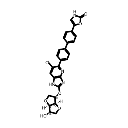 O=c1[nH]cc(-c2ccc(-c3ccc(-c4nc5nc(O[C@@H]6CO[C@H]7[C@@H]6OC[C@H]7O)[nH]c5cc4Cl)cc3)cc2)o1